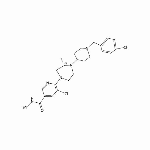 CC(C)NC(=O)c1cnc(N2CCN(C3CCN(Cc4ccc(Cl)cc4)CC3)[C@@H](C)C2)c(Cl)c1